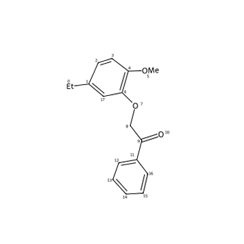 CCc1ccc(OC)c(OCC(=O)c2ccccc2)c1